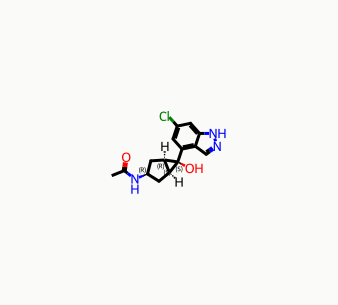 CC(=O)N[C@H]1C[C@@H]2[C@H](C1)[C@@]2(O)c1cc(Cl)cc2[nH]ncc12